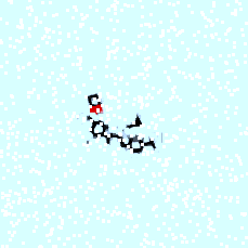 COc1cc(C(=O)N2CC3CCC2[C@@H]3C)cc2oc(-c3cc4ccc(C(C)O)nc4n3CC3CC3)c(C)c12